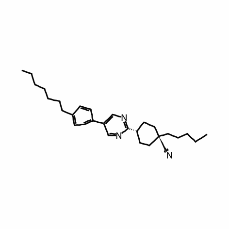 CCCCCCCc1ccc(-c2cnc([C@H]3CC[C@@](C#N)(CCCCC)CC3)nc2)cc1